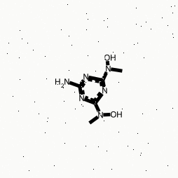 CN(O)c1nc(N)nc(N(C)O)n1